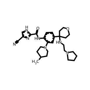 CC1CCN(c2cc(C3(NCCN4CCCC4)CCOCC3)ccc2NC(=O)c2nc(C#N)c[nH]2)CC1